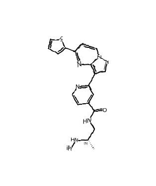 CC(C)N[C@@H](C)CNC(=O)c1ccnc(-c2cnn3ccc(-c4cccs4)nc23)c1